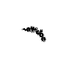 CCCc1ccc(-n2ncc(C(=O)Nc3ccc([C@]4(C#N)CC[C@@H](N5CCOCC5)CC4)nc3)c2C)nc1